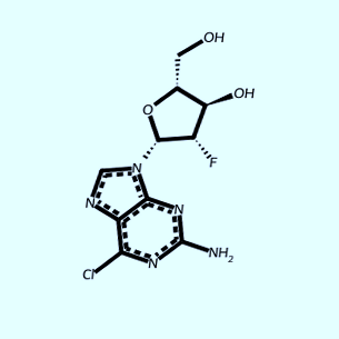 Nc1nc(Cl)c2ncn([C@@H]3O[C@H](CO)[C@@H](O)[C@@H]3F)c2n1